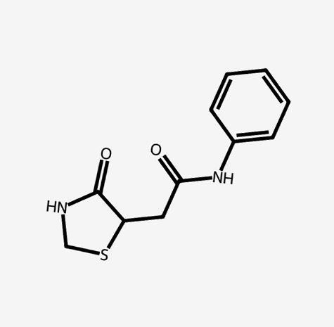 O=C(CC1SCNC1=O)Nc1ccccc1